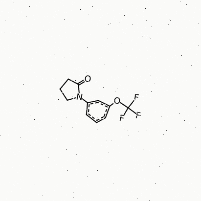 O=C1CCCN1c1cccc(OC(F)(F)F)c1